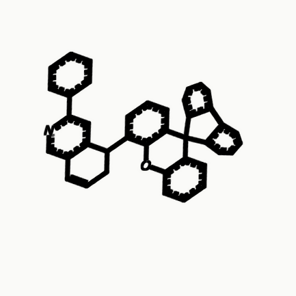 C1=Cc2cnc(-c3ccccc3)cc2C(c2cccc3c2Oc2ccccc2C32c3ccccc3-c3ccccc32)C1